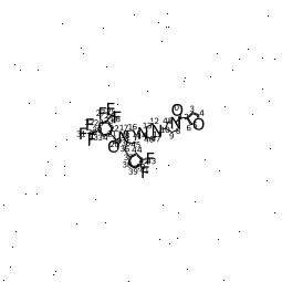 O=C(c1ccoc1)N1CCC(N2CCN(C3CCN(C(=O)c4cc(C(F)(F)F)cc(C(F)(F)F)c4)C(Cc4ccc(F)c(F)c4)C3)CC2)C1